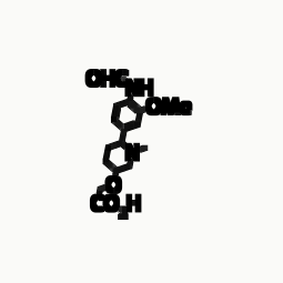 COc1cc(C2CCC(OCC(=O)O)CN2C)ccc1NC=O